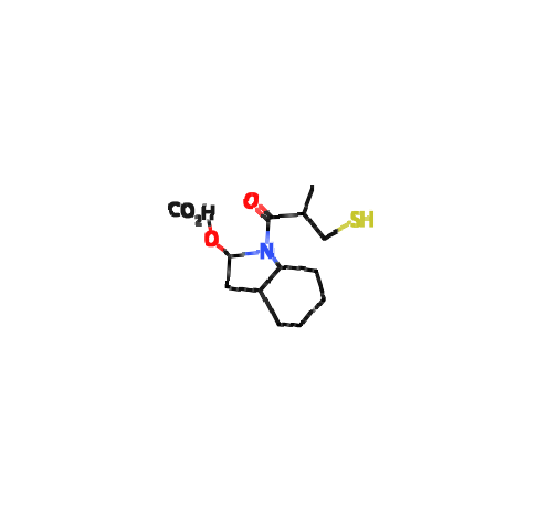 CC(CS)C(=O)N1C(OC(=O)O)CC2CCCCC21